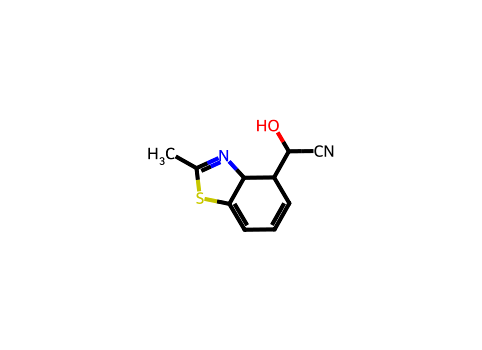 CC1=NC2C(=CC=CC2C(O)C#N)S1